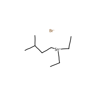 C[CH2][Sn+]([CH2]C)[CH2]CC(C)C.[Br-]